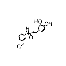 O=C(C=Cc1ccc(O)c(O)c1)Nc1cccc(CCl)c1